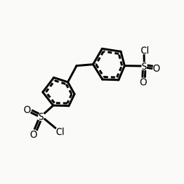 O=S(=O)(Cl)c1ccc(Cc2ccc(S(=O)(=O)Cl)cc2)cc1